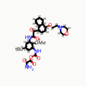 COc1c(NC(=O)OC(=O)C(N)=O)cc(C(C)(C)C)cc1NC(=O)C(=O)c1ccc(OCCN2CCOCC2)c2ccccc12